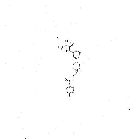 CC(C)C(=O)Nc1cccc(C2CCN(CCC[S+]([O-])c3ccc(F)cc3)CC2)c1